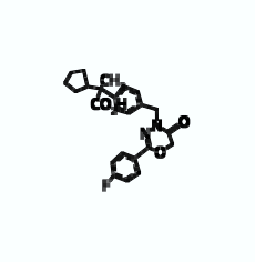 CC(C(=O)O)(c1ccc(CN2N=C(c3ccc(F)cc3)OCC2=O)cc1)C1CCCC1